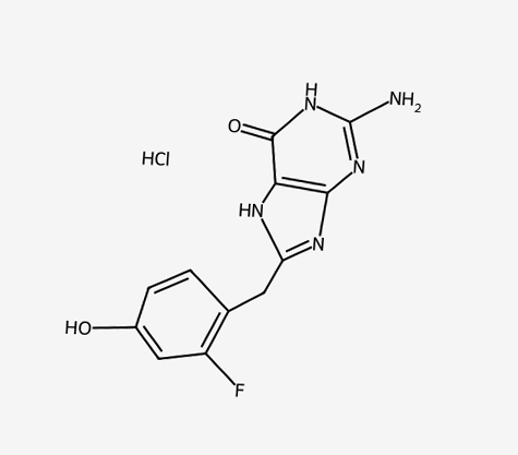 Cl.Nc1nc2nc(Cc3ccc(O)cc3F)[nH]c2c(=O)[nH]1